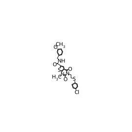 COc1cccc(CNC(=O)c2cc3c(=O)n(CCSc4ccc(Cl)cc4)c(=O)n(C)c3s2)c1